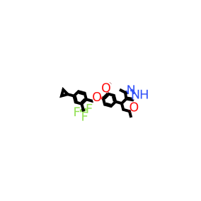 COc1cc(C(CC(C)=O)c2c[nH]nc2C)ccc1OCc1ccc(C2CC2)cc1C(F)(F)F